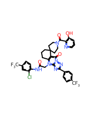 O=C(Cn1c2c(c(=O)n3nc(-c4ccc(C(F)(F)F)cc4)nc13)C1(CCC2)CCN(C(=O)c2ncccc2O)CC1)Nc1ccc(C(F)(F)F)cc1Cl